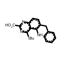 CC(C)(C)c1nc(C(=O)O)nc2ccc(Cc3ccccc3)c(N)c12